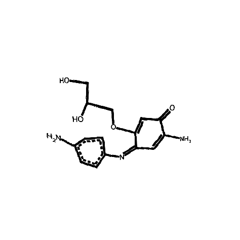 NC1=CC(=Nc2ccc(N)cc2)C(OCC(O)CO)=CC1=O